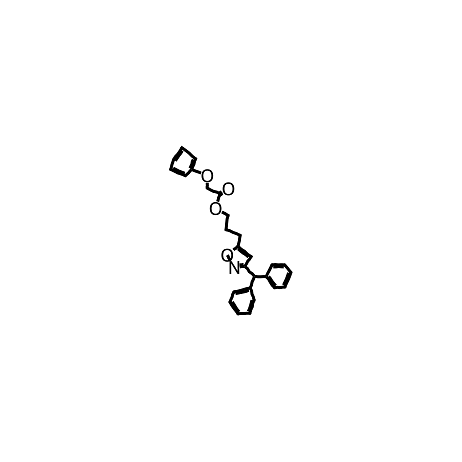 O=C(COc1ccccc1)OCCCc1cc(C(c2ccccc2)c2ccccc2)no1